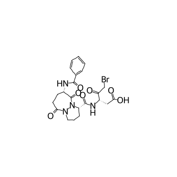 O=C(O)C[C@H](NC(=O)[C@@H]1CCCN2C(=O)CC[C@H](NC(=O)c3ccccc3)C(=O)N12)C(=O)CBr